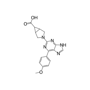 COc1ccc(-c2nc(N3CC4C(C3)C4C(=O)O)nc3[nH]cnc23)cc1